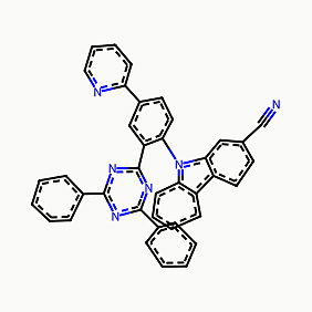 N#Cc1ccc2c3ccccc3n(-c3ccc(-c4ccccn4)cc3-c3nc(-c4ccccc4)nc(-c4ccccc4)n3)c2c1